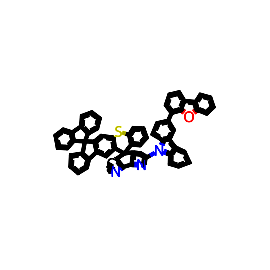 c1ccc2c(c1)Sc1cc3c(cc1C21c2cccnc2-c2ncc(-n4c5ccccc5c5cc(-c6cccc7c6oc6ccccc67)ccc54)cc21)-c1ccccc1C31c2ccccc2-c2ccccc21